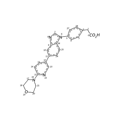 O=C(O)Cc1ccc(-n2cnc3cc(-c4ccc(N5CCOCC5)nc4)ccc32)cc1